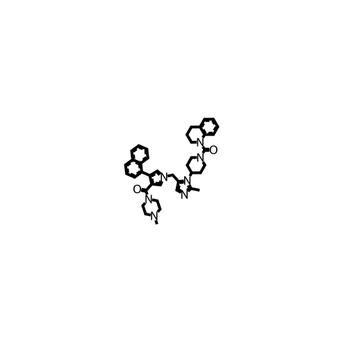 Cc1ncc(Cn2cc(C(=O)N3CCN(C)CC3)c(-c3cccc4ccccc34)c2)n1C1CCN(C(=O)N2CCCc3ccccc32)CC1